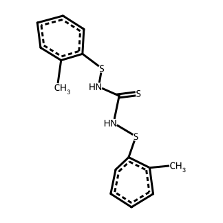 Cc1ccccc1SNC(=S)NSc1ccccc1C